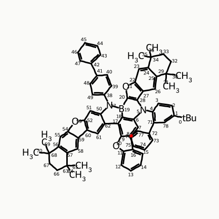 CC(C)(C)c1ccc(N2c3cc4c(oc5ccccc54)c4c3B(c3oc5cc6c(cc5c32)C(C)(C)CCC6(C)C)N(c2ccc(-c3ccccc3)cc2)c2cc3oc5cc6c(cc5c3cc2-4)C(C)(C)CCC6(C)C)c(-c2ccccc2)c1